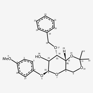 COc1ccc(O[C@@H]2OC3COC(C)(C)O[C@H]3[C@@H](OCc3ccccc3)C2O)cc1